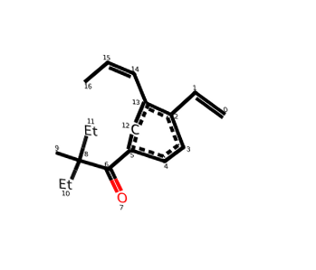 C=Cc1ccc(C(=O)C(C)(CC)CC)cc1/C=C\C